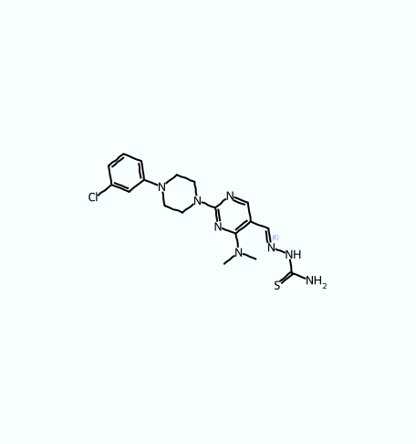 CN(C)c1nc(N2CCN(c3cccc(Cl)c3)CC2)ncc1/C=N/NC(N)=S